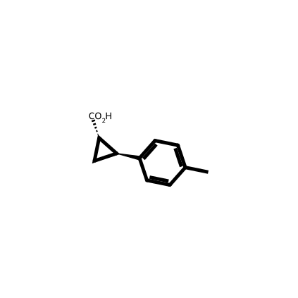 Cc1ccc([C@H]2C[C@@H]2C(=O)O)cc1